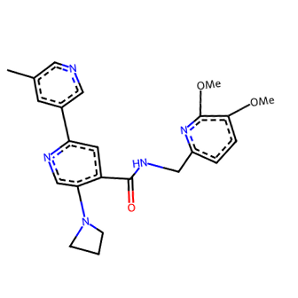 COc1ccc(CNC(=O)c2cc(-c3cncc(C)c3)ncc2N2CCC2)nc1OC